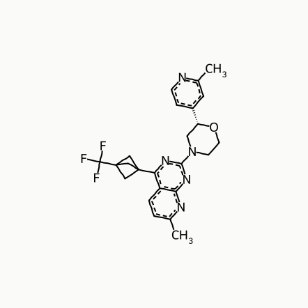 Cc1cc([C@H]2CN(c3nc(C45CC(C(F)(F)F)(C4)C5)c4ccc(C)nc4n3)CCO2)ccn1